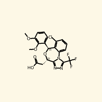 COc1cccc([C@@H]2O[C@@H](CC(=O)O)c3nnc(C(F)(F)F)n3-c3cccc(Cl)c32)c1OC